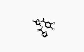 Cc1cc(OC(=O)c2nccs2)n(C(C)c2ccc(Cl)c(Cl)c2)n1